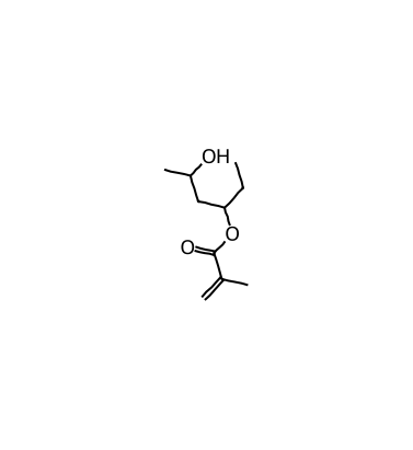 C=C(C)C(=O)OC(CC)CC(C)O